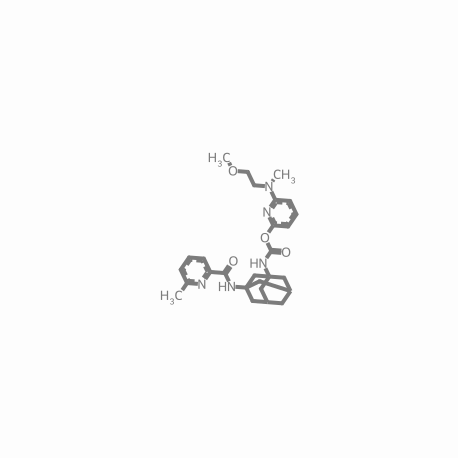 COCCN(C)c1cccc(OC(=O)NC23CC4CC(C2)CC(NC(=O)c2cccc(C)n2)(C4)C3)n1